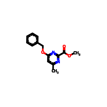 COC(=O)c1nc(C)cc(OCc2ccccc2)n1